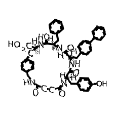 O=C1CCC(=O)N[C@H](Cc2ccc(O)cc2)C(=O)N[C@@H](Cc2ccc(-c3ccccc3)cc2)C(=O)N[C@H](Cc2ccccc2)C(=O)N[C@H](C(=O)O)Cc2ccc(cc2)N1